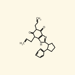 C=CCC1C(=O)c2nc(C3CCCC3c3ccccc3)[nH]c2C(CC=C)C1=O